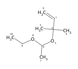 C=CC(C)(C)OC(C)OCC